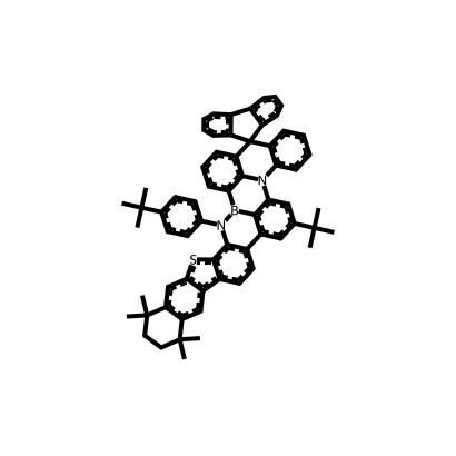 CC(C)(C)c1ccc(N2B3c4cccc5c4N(c4ccccc4C54c5ccccc5-c5ccccc54)c4cc(C(C)(C)C)cc(c43)-c3ccc4c(sc5cc6c(cc54)C(C)(C)CCC6(C)C)c32)cc1